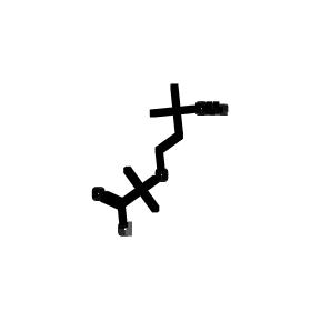 COC(C)(C)CCOC(C)(C)C(=O)Cl